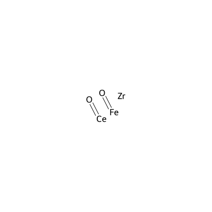 [O]=[Ce].[O]=[Fe].[Zr]